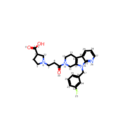 O=C(O)C1CCN(CCC(=O)N2CCc3c(n(Cc4cccc(F)c4)c4ncccc34)C2)C1